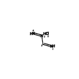 Cl.N=CN=N